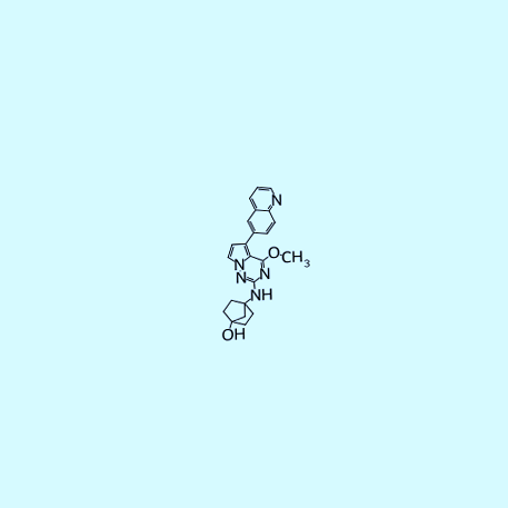 COc1nc(NC23CCC(O)(CC2)C3)nn2ccc(-c3ccc4ncccc4c3)c12